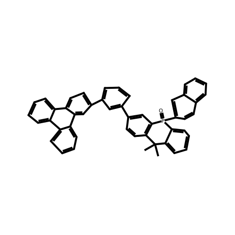 CC1(C)c2ccccc2P(=O)(c2ccc3ccccc3c2)c2cc(-c3cccc(-c4ccc5c6ccccc6c6ccccc6c5c4)c3)ccc21